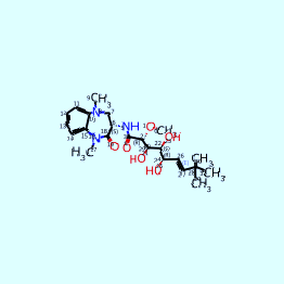 CO[C@@H](C(=O)N[C@H]1CN(C)c2ccccc2N(C)C1=O)[C@H](O)[C@@H](O)[C@H](O)/C=C/C(C)(C)C